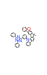 CC1(C)c2cc3oc4ccccc4c3cc2-c2c1ccc1c3ccccc3n(-c3cccc(-c4nc(-c5ccccc5)nc(-c5ccccc5)n4)c3)c21